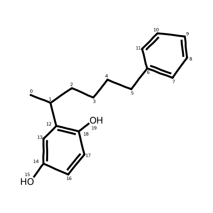 CC(CCCCc1ccccc1)c1cc(O)ccc1O